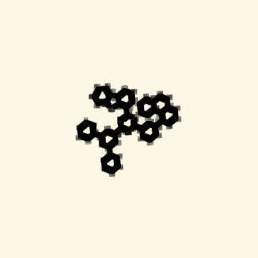 c1ccc(-c2cc(-c3ccccc3)cc(-c3nc(-c4cccc(-c5cccc6ccc7ccccc7c56)c4)nc(-c4cccc5c4oc4ccccc45)n3)c2)cc1